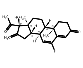 C=C1C[C@H]2[C@@H]3C=C(F)C4=CC(=O)CC[C@]4(C)[C@H]3CC[C@]2(C)[C@@]1(O)C(C)=O